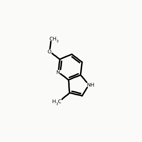 COc1ccc2[nH]cc(C)c2n1